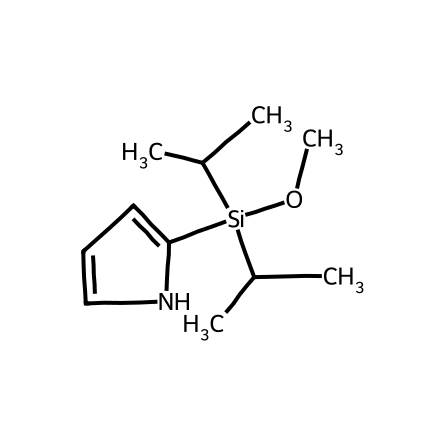 CO[Si](c1ccc[nH]1)(C(C)C)C(C)C